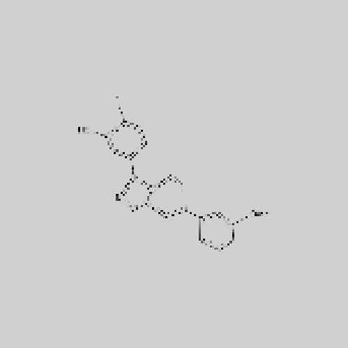 COc1cccc(-c2ccc3c(cnn3-c3ccc(F)c(O)c3)c2)c1